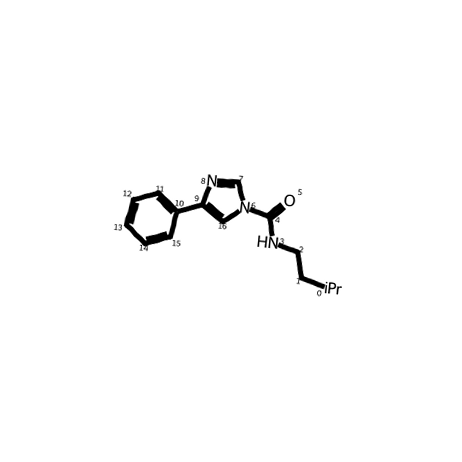 CC(C)CCNC(=O)n1cnc(-c2ccccc2)c1